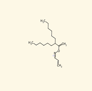 C=C/C=N\OC(=C)C(CCCCCC)CCCCCC